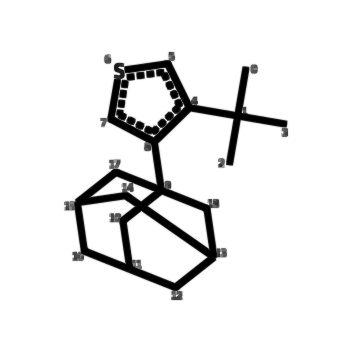 CC(C)(C)c1cscc1C12CC3CC(CC(C3)C1)C2